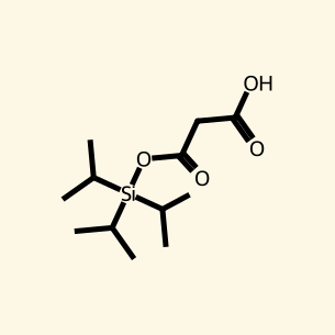 CC(C)[Si](OC(=O)CC(=O)O)(C(C)C)C(C)C